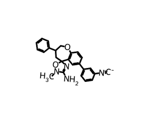 [C-]#[N+]c1cccc(-c2ccc3c(c2)C2(CC(c4ccccc4)CO3)N=C(N)N(C)O2)c1